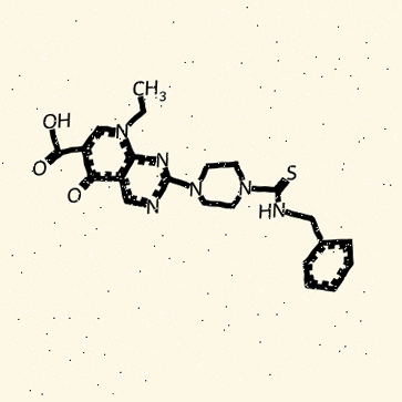 CCn1cc(C(=O)O)c(=O)c2cnc(N3CCN(C(=S)NCc4ccccc4)CC3)nc21